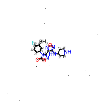 Bc1cc(-n2c(-c3nonc3NC3CCNCC3)noc2=O)ccc1F